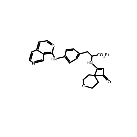 CCOC(=O)C(Cc1ccc(Nc2nccc3ccncc23)cc1)NC1=CC(=O)C12CCOCC2